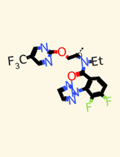 CCN(C(=O)c1ccc(F)c(F)c1-n1nccn1)[C@@H](C)COc1ncc(C(F)(F)F)cn1